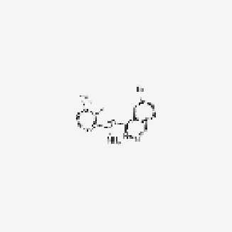 Cc1c([C@@H](N)Nc2nncc3ccc(Br)cc23)cccc1C(F)(F)F